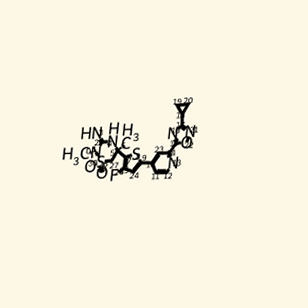 CN1C(=N)N[C@](C)(c2sc(-c3ccnc(-c4nc(C5CC5)no4)c3)cc2F)CS1(=O)=O